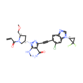 C=CC(=O)N1C[C@@H](n2nc(C#Cc3cc4ncn([C@@H]5CC5(F)F)c4cc3Cl)c(C(N)=O)c2NC)C[C@@H]1COC